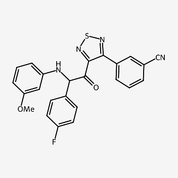 COc1cccc(NC(C(=O)c2nsnc2-c2cccc(C#N)c2)c2ccc(F)cc2)c1